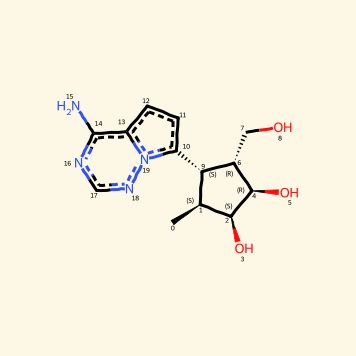 C[C@@H]1[C@H](O)[C@H](O)[C@@H](CO)[C@H]1c1ccc2c(N)ncnn12